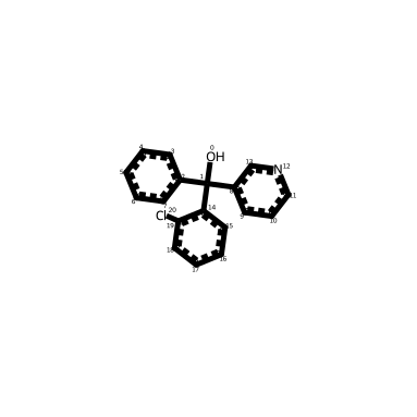 OC(c1ccccc1)(c1cccnc1)c1ccccc1Cl